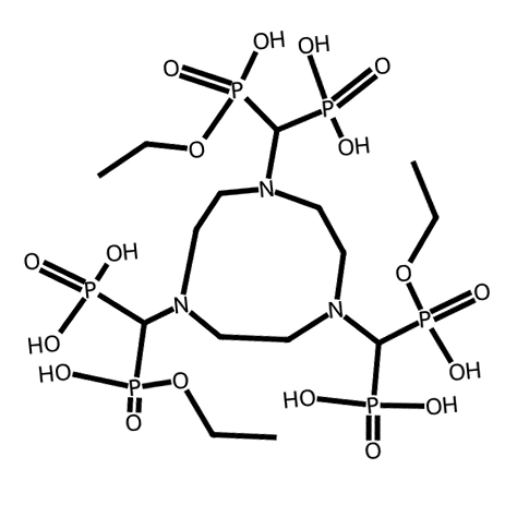 CCOP(=O)(O)C(N1CCN(C(P(=O)(O)O)P(=O)(O)OCC)CCN(C(P(=O)(O)O)P(=O)(O)OCC)CC1)P(=O)(O)O